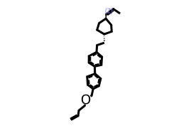 C=CCCOCc1ccc(-c2ccc(CC[C@H]3CC[C@H](/C=C\C)CC3)cc2)cc1